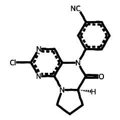 N#Cc1cccc(N2C(=O)[C@H]3CCCN3c3nc(Cl)ncc32)c1